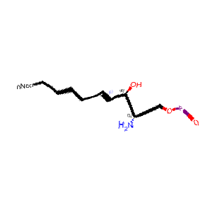 CCCCCCCCCCCCC/C=C/[C@@H](O)[C@@H](N)COP=O